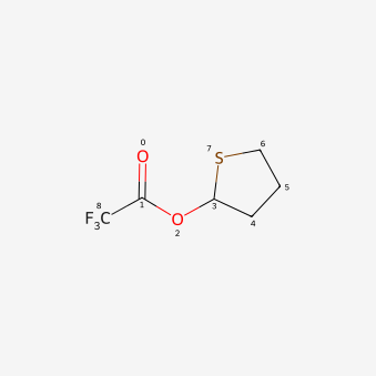 O=C(OC1CCCS1)C(F)(F)F